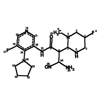 CN1CC(F)CNC1C(C(=O)Nc1cncc(F)c1N1CCCC1)C(N)N=O